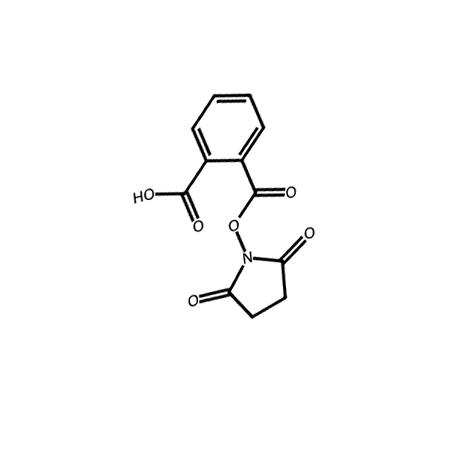 O=C(O)c1ccccc1C(=O)ON1C(=O)CCC1=O